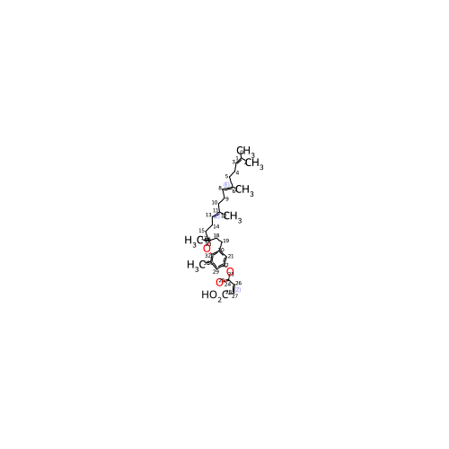 CC(C)=CCC/C(C)=C/CC/C(C)=C/CC[C@]1(C)CCc2cc(OC(=O)/C=C\C(=O)O)cc(C)c2O1